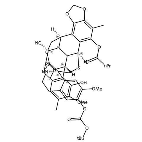 CCCC(=O)Oc1c(C)c2c(c3c1[C@H]1SC[C@]4(NCCc5cc(OC(=O)OC(C)(C)C)c(OC)cc54)C(=O)OC[C@@H]3N3C1[C@@H]1c4c(cc(C)c(OC)c4O)CC([C@@H]3C#N)N1C)OCO2